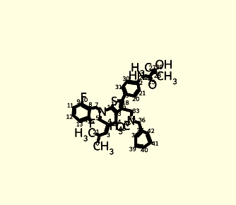 CC(C)C=C1CN(Cc2c(F)cccc2F)c2sc(-c3ccc(NC(=O)C(C)(C)O)cc3)c(CN(C)Cc3ccccc3)c2C1=O